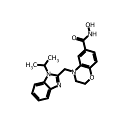 CC(C)n1c(CN2CCOc3ccc(C(=O)NO)cc32)nc2ccccc21